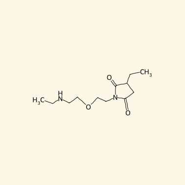 CCNCCOCCN1C(=O)CC(CC)C1=O